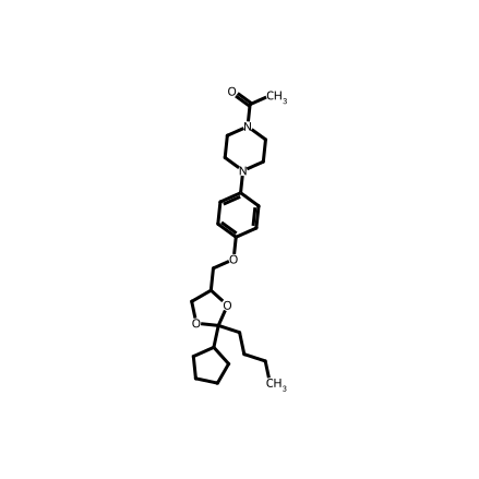 CCCCC1(C2CCCC2)OCC(COc2ccc(N3CCN(C(C)=O)CC3)cc2)O1